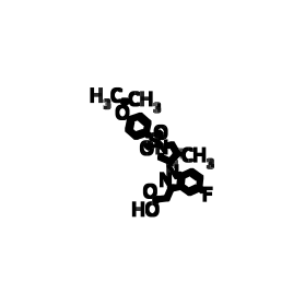 CC(C)Oc1ccc(S(=O)(=O)N2C[C@@H](C)[C@@H](n3nc(CC(=O)O)c4cc(F)ccc43)C2)cc1